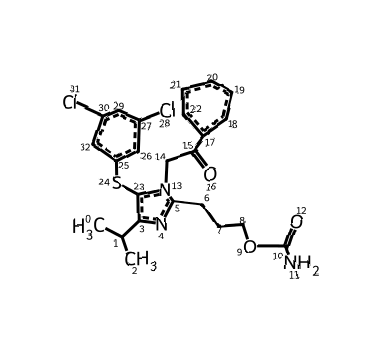 CC(C)c1nc(CCCOC(N)=O)n(CC(=O)c2ccccc2)c1Sc1cc(Cl)cc(Cl)c1